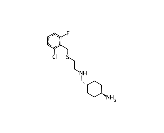 N[C@H]1CC[C@H](CNCCSCc2c(F)cccc2Cl)CC1